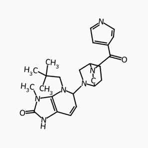 Cn1c2c([nH]c1=O)C=CC(N1CC3CCC1CN3C(=O)c1ccncc1)N2CC(C)(C)C